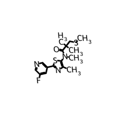 CSCC(C)(C)C(=O)N(C)c1sc(-c2cncc(F)c2)nc1C